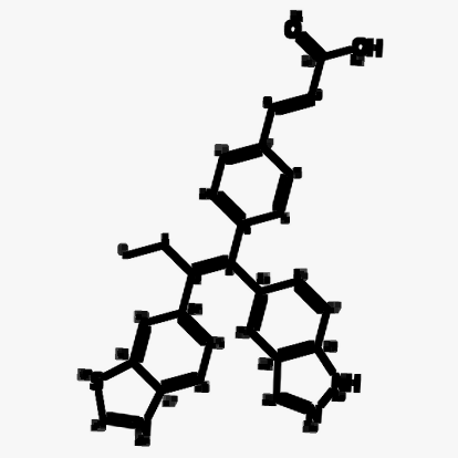 CCC(=C(c1ccc(C=CC(=O)O)cc1)c1ccc2[nH]ncc2c1)c1ccc2ncsc2c1